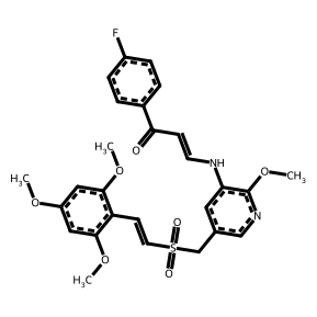 COc1cc(OC)c(C=CS(=O)(=O)Cc2cnc(OC)c(NC=CC(=O)c3ccc(F)cc3)c2)c(OC)c1